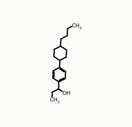 CCCCC1CCC(c2ccc(C(O)CC)cc2)CC1